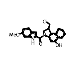 COc1ccc2cc(C(=O)N3CC(CCl)c4c3cc(O)c3ccccc43)[nH]c2c1